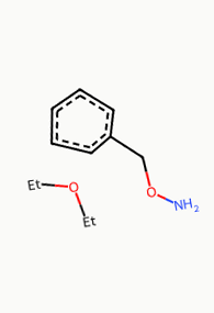 CCOCC.NOCc1ccccc1